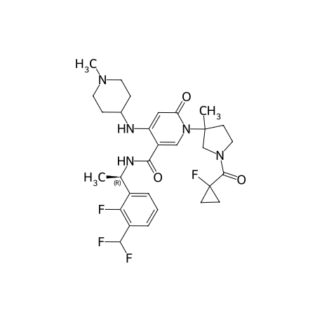 C[C@@H](NC(=O)c1cn(C2(C)CCN(C(=O)C3(F)CC3)C2)c(=O)cc1NC1CCN(C)CC1)c1cccc(C(F)F)c1F